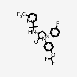 CC(C)(N[C@@H]1C[C@H](c2cccc(F)c2)N(c2ccc(OC(F)F)cc2)C1=O)c1cccc(C(F)(F)F)n1